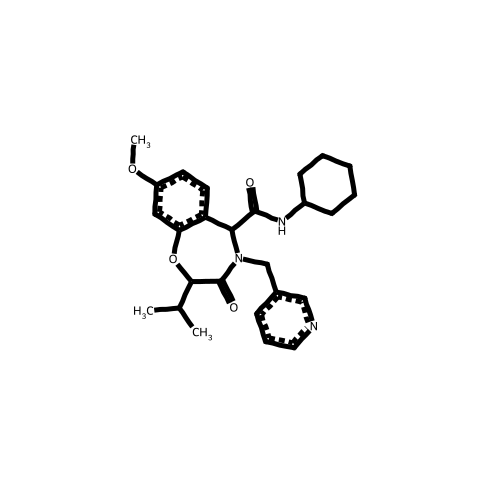 COc1ccc2c(c1)OC(C(C)C)C(=O)N(Cc1cccnc1)C2C(=O)NC1CCCCC1